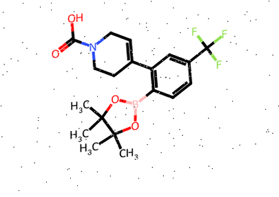 CC1(C)OB(c2ccc(C(F)(F)F)cc2C2=CCN(C(=O)O)CC2)OC1(C)C